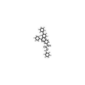 O=C(Nc1ccc2c(c1)nc(-c1ccccc1)c1cc(-c3ccccc3)ccc12)OCc1ccccc1